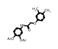 CC(=O)Oc1ccc(NC(=O)COc2ccc(C)c(C)c2)cc1OC(C)=O